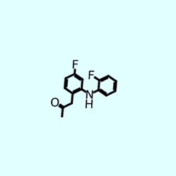 CC(=O)Cc1ccc(F)cc1Nc1ccccc1F